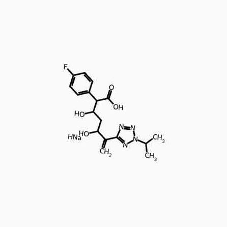 C=C(c1nnn(C(C)C)n1)C(O)CC(O)C(C(=O)O)c1ccc(F)cc1.[NaH]